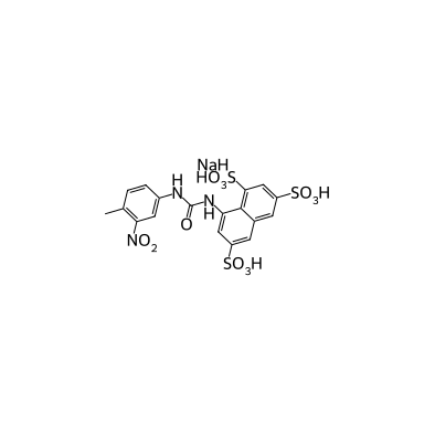 Cc1ccc(NC(=O)Nc2cc(S(=O)(=O)O)cc3cc(S(=O)(=O)O)cc(S(=O)(=O)O)c23)cc1[N+](=O)[O-].[NaH]